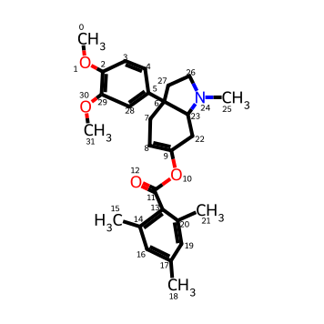 COc1ccc(C23CC=C(OC(=O)c4c(C)cc(C)cc4C)CC2N(C)CC3)cc1OC